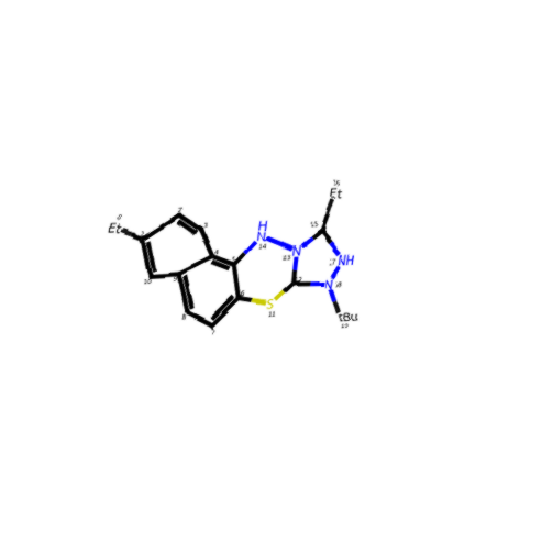 CCc1ccc2c3c(ccc2c1)SC1N(N3)C(CC)NN1C(C)(C)C